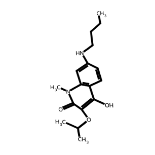 CCCCNc1ccc2c(O)c(OC(C)C)c(=O)n(C)c2c1